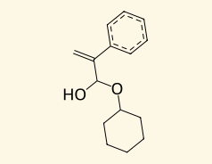 C=C(c1ccccc1)C(O)OC1CCCCC1